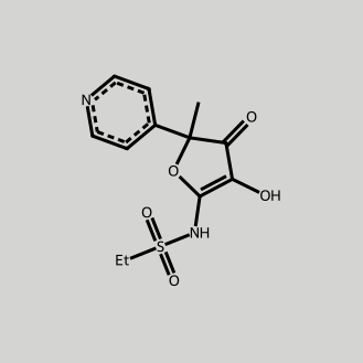 CCS(=O)(=O)NC1=C(O)C(=O)C(C)(c2ccncc2)O1